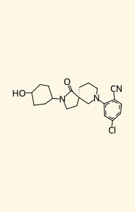 N#Cc1ccc(Cl)cc1N1CCC[C@@]2(CCN(C3CCC(O)CC3)C2=O)C1